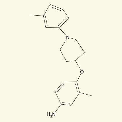 Cc1cccc(N2CCC(Oc3ccc(N)cc3C)CC2)c1